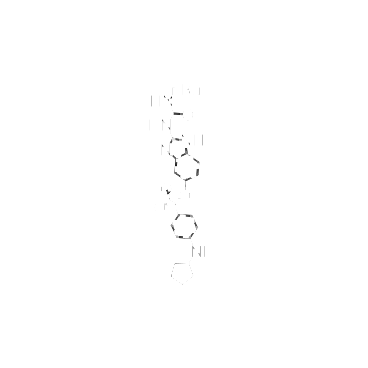 CCCCNC(=O)Nc1nc2cc(OS(=O)(=O)c3ccc(NC4CCCC4)cc3)ccc2[nH]1